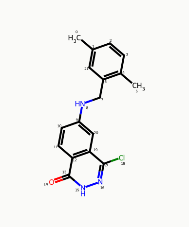 Cc1ccc(C)c(CNc2ccc3c(=O)[nH]nc(Cl)c3c2)c1